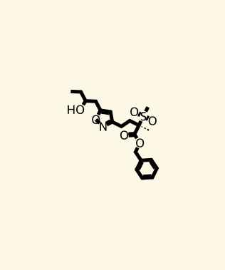 CCC(O)Cc1cc(CC[C@](C)(C(=O)OCc2ccccc2)S(C)(=O)=O)no1